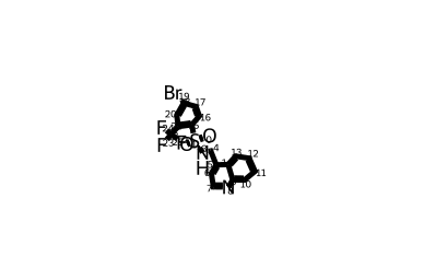 O=S(=O)(NCc1ccnc2ccccc12)c1ccc(Br)cc1C(F)(F)F